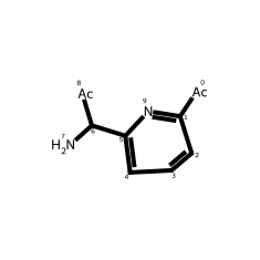 CC(=O)c1cccc(C(N)C(C)=O)n1